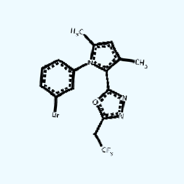 Cc1[c]c(C)n(-c2cccc(Br)c2)c1-c1nnc(CC(F)(F)F)o1